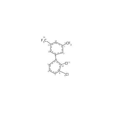 FC(F)(F)c1cc(-c2[c]ccc(Cl)c2Cl)cc(C(F)(F)F)c1